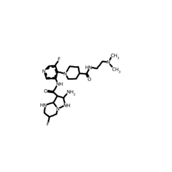 CN(C)CCNC(=O)C1CCN(c2c(F)cncc2NC(=O)C2C(N)NN3CC(F)CNC23)CC1